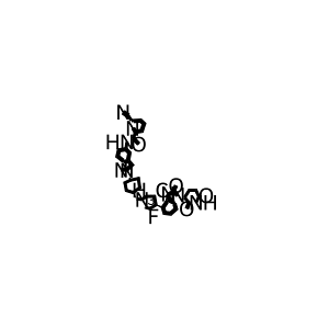 Cn1c(=O)n(C2CCC(=O)NC2=O)c2cccc([C@@H]3CCN(C[C@H]4CC[C@H](n5cc6cc(NC(=O)c7cccc(C#N)n7)ccc6n5)CC4)C[C@@H]3F)c21